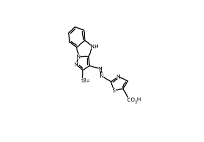 CC(C)(C)c1nn2c([nH]c3ccccc32)c1/N=N/c1ncc(C(=O)O)s1